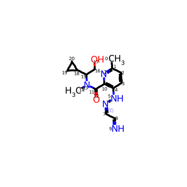 Cc1ccc(N/N=C\C=N)c(C(=O)N(C)C(CO)C2CC2)n1